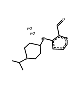 CC(C)N1CCC(Nc2cccnc2C=O)CC1.Cl.Cl